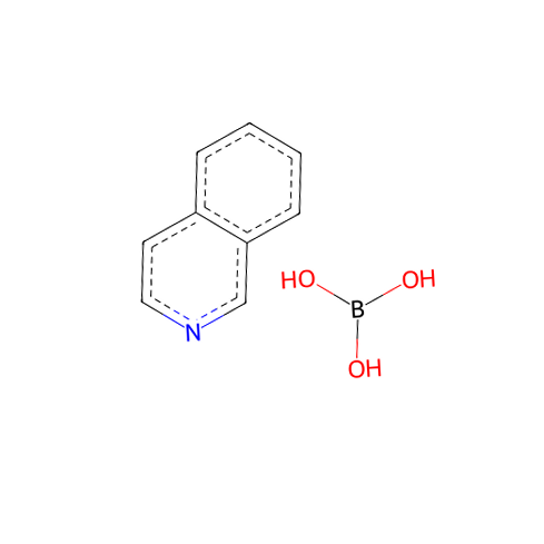 OB(O)O.c1ccc2cnccc2c1